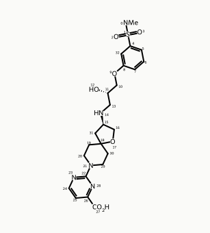 CNS(=O)(=O)c1cccc(OC[C@@H](O)CN[C@H]2COC3(CCN(c4nccc(C(=O)O)n4)CC3)C2)c1